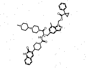 Cc1cc(C[C@@H](NC(=O)N2CCC(c3cc4ccccc4[nH]c3=O)CC2)C(=O)N2CCN(C3CCN(C)CC3)CC2)cc2cnn(COC(=O)C3(c4ccccc4)CC3)c12